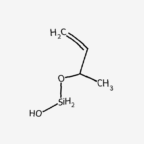 C=CC(C)O[SiH2]O